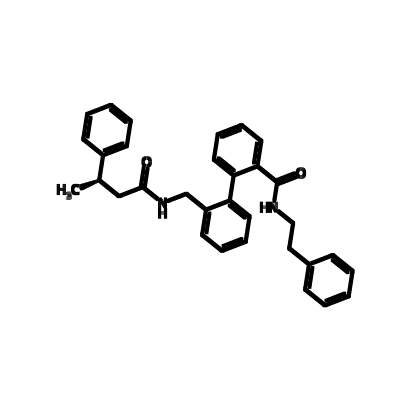 C[C@H](CC(=O)NCc1ccccc1-c1ccccc1C(=O)NCCc1ccccc1)c1ccccc1